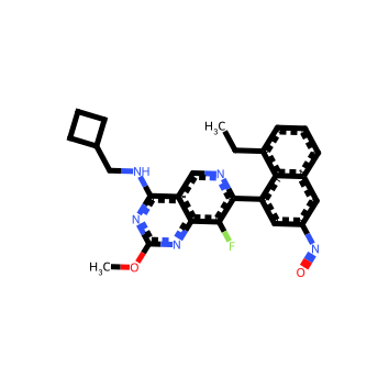 CCc1cccc2cc(N=O)cc(-c3ncc4c(NCC5CCC5)nc(OC)nc4c3F)c12